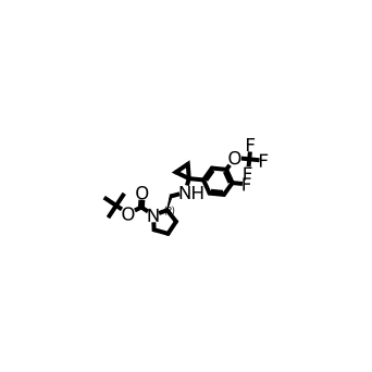 CC(C)(C)OC(=O)N1CCC[C@@H]1CNC1(c2ccc(F)c(OC(F)(F)F)c2)CC1